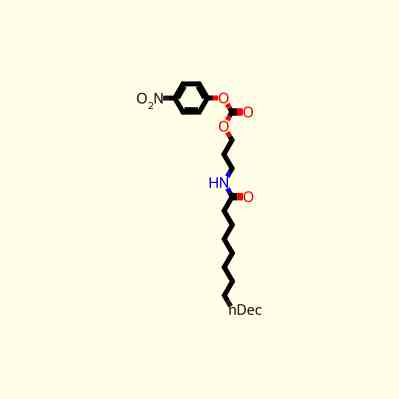 CCCCCCCCCCCCCCCCCC(=O)NCCCOC(=O)Oc1ccc([N+](=O)[O-])cc1